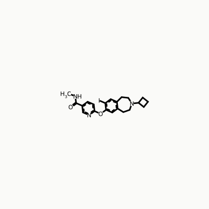 CNC(=O)c1ccc(Oc2cc3c(cc2I)CCN(C2CCC2)CC3)nc1